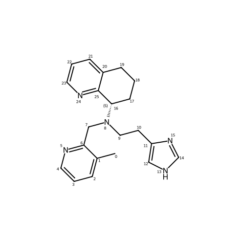 Cc1cccnc1CN(CCc1c[nH]cn1)[C@H]1CCCc2cccnc21